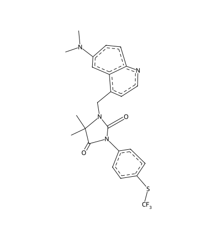 CN(C)c1ccc2nccc(CN3C(=O)N(c4ccc(SC(F)(F)F)cc4)C(=O)C3(C)C)c2c1